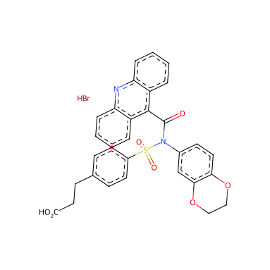 Br.O=C(O)CCc1ccc(S(=O)(=O)N(C(=O)c2c3ccccc3nc3ccccc23)c2ccc3c(c2)OCCO3)cc1